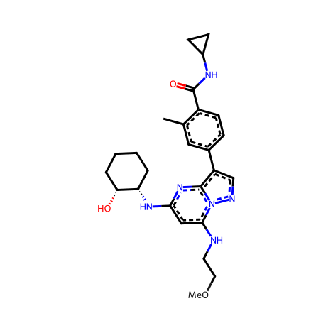 COCCNc1cc(N[C@H]2CCCC[C@H]2O)nc2c(-c3ccc(C(=O)NC4CC4)c(C)c3)cnn12